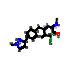 C=C(/C(=C\C(C=O)=N/C)Cc1ccc(-c2ccn(C)n2)cc1)C(F)F